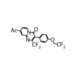 CC(=O)c1ccn2c(=O)c(-c3ccc(OCC(F)(F)F)cc3)c(C(F)(F)F)nc2c1